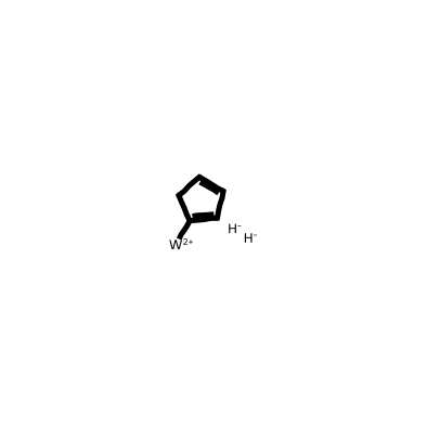 [H-].[H-].[W+2][C]1=CC=CC1